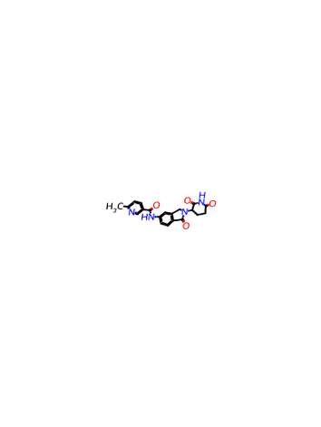 Cc1ccc(C(=O)Nc2ccc3c(c2)CN(C2CCC(=O)NC2=O)C3=O)cn1